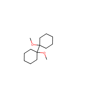 COC1(C2(OC)CCCCC2)CCCCC1